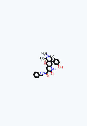 Cc1ccc(O)cc1[C@]12CCN(C)C(C)[C@]1(O)Cc1cc(C(=O)NCc3ccccc3)c(=O)[nH]c1C2